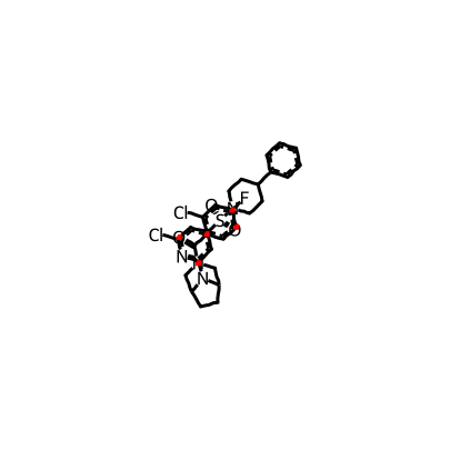 O=C(c1ccc(F)cc1Cl)N1CC2CCC(C1)N2c1cc(S(=O)(=O)N2CCC(c3ccccc3)CC2)cc(Cl)n1